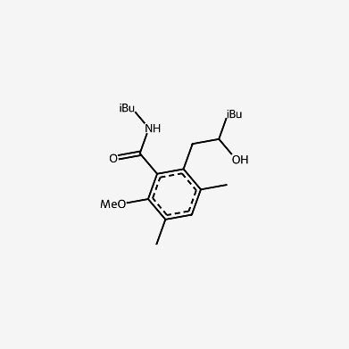 CCC(C)NC(=O)c1c(CC(O)C(C)CC)c(C)cc(C)c1OC